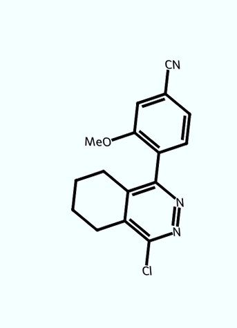 COc1cc(C#N)ccc1-c1nnc(Cl)c2c1CCCC2